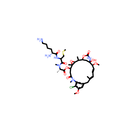 COc1cc2cc(c1Cl)N(C)C(=O)CC(OC(=O)[C@H](C)N(C)C(=O)C(CSC)NC(=O)[C@H](N)CCCCN)C1(C)OC1C(C)C1CC(O)(NC(=O)O1)C(OC)/C=C/C=C(\C)C2